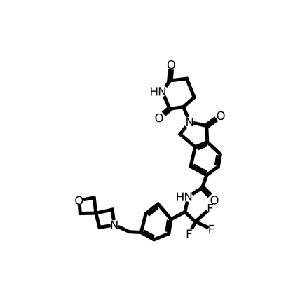 O=C1CCC(N2Cc3cc(C(=O)NC(c4ccc(CN5CC6(COC6)C5)cc4)C(F)(F)F)ccc3C2=O)C(=O)N1